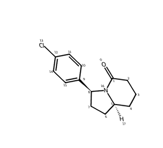 O=C1CCC[C@H]2CC[C@@H](c3ccc(Cl)cc3)N12